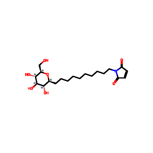 O=C1C=CC(=O)N1CCCCCCCCCC[C@@H]1O[C@H](CO)[C@@H](O)[C@H](O)[C@H]1O